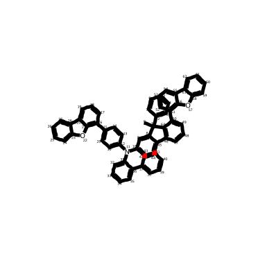 CC1(c2ccccc2)c2cc(N(c3ccc(-c4cccc5c4oc4ccccc45)cc3)c3ccccc3-c3ccccc3)ccc2-c2cccc(-c3cccc4c3oc3ccccc34)c21